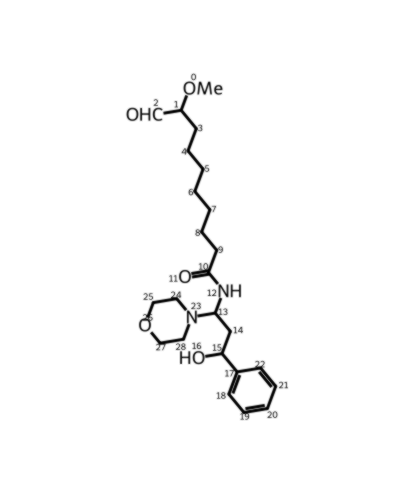 COC(C=O)CCCCCCCC(=O)NC(CC(O)c1ccccc1)N1CCOCC1